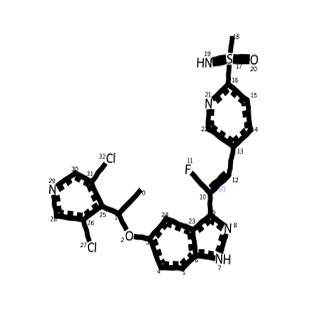 CC(Oc1ccc2[nH]nc(/C(F)=C/c3ccc(S(C)(=N)=O)nc3)c2c1)c1c(Cl)cncc1Cl